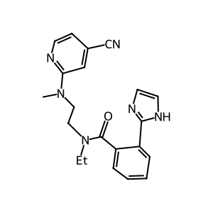 CCN(CCN(C)c1cc(C#N)ccn1)C(=O)c1ccccc1-c1ncc[nH]1